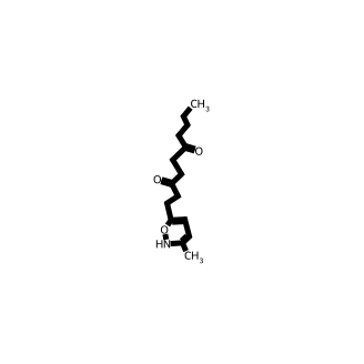 CCCCC(=O)CCC(=O)CCC1=CC=C(C)NO1